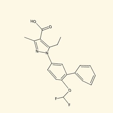 CCc1c(C(=O)O)c(C)nn1-c1ccc(OC(F)F)c(-c2ccccc2)c1